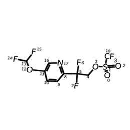 O=S(=O)(OCC(F)(F)c1ccc(OC(F)F)cn1)C(F)(F)F